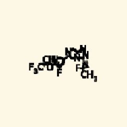 C[C@@H](Oc1ncc(-c2cn3c([C@@H]4CC4(C)F)nnc3cn2)cc1F)C(F)(F)F